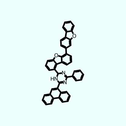 c1ccc(C2=NC(c3cccc4oc5c(-c6ccc7c(c6)oc6ccccc67)cccc5c34)NC(c3cc4ccccc4c4ccccc34)=N2)cc1